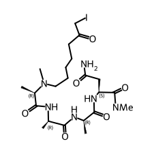 CNC(=O)[C@H](CC(N)=O)NC(=O)[C@@H](C)NC(=O)[C@@H](C)NC(=O)[C@@H](C)N(C)CCCCCC(=O)CI